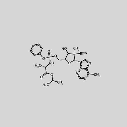 Cc1ncnn2c([C@@H]3O[C@H](CO[P@](=O)(N[C@@H](C)C(=O)OC(C)C)Oc4ccccc4)[C@@H](O)[C@@]3(C)C#N)cnc12